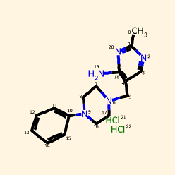 Cc1ncc(CN2CCN(c3ccccc3)CC2)c(N)n1.Cl.Cl